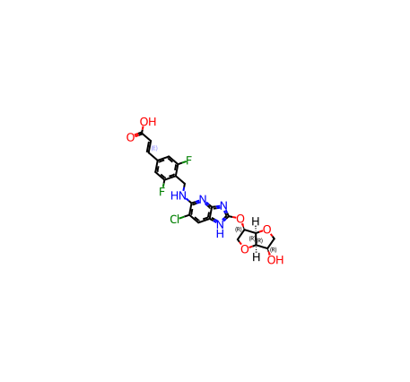 O=C(O)/C=C/c1cc(F)c(CNc2nc3nc(O[C@@H]4CO[C@H]5[C@@H]4OC[C@H]5O)[nH]c3cc2Cl)c(F)c1